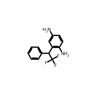 Nc1ccc(N)c(C(c2ccccc2)C(F)(F)F)c1